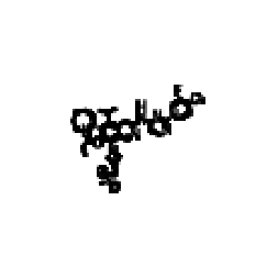 C=CC(=O)N1CCCCC[C@@H]1c1cc(N2CC(CS(C)(=O)=O)C2)c2cnc(Nc3ccnc(N4CC[C@H](OC)[C@H](F)C4)n3)cc2c1C(C)C